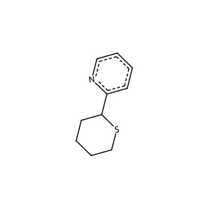 c1ccc(C2CCCCS2)nc1